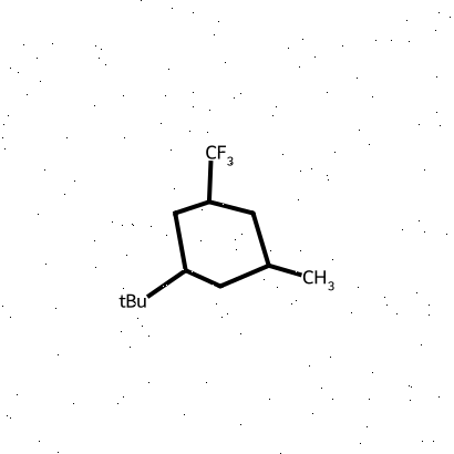 CC1CC(C(C)(C)C)CC(C(F)(F)F)C1